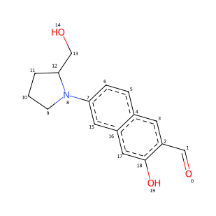 O=Cc1cc2ccc(N3CCCC3CO)cc2cc1O